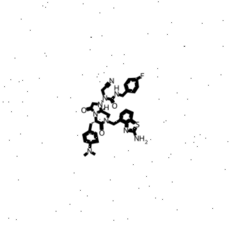 CN(C)c1ccc(C[C@H]2C(=O)N(Cc3cccc4sc(N)nc34)C[C@H]3N2C(=O)CN3N(CC#N)C(=O)NCc2ccc(F)cc2)cc1